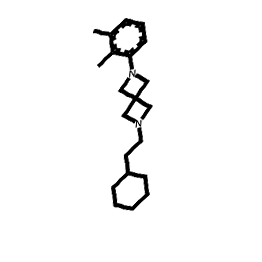 Cc1cccc(N2CC3(CN(CCC4CCCCC4)C3)C2)c1C